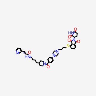 O=C(/C=C/c1cccnc1)NCCCCC1CCN(C(=O)c2ccc(N3CCN(CCCCSc4cccc5c4C(=O)N(C4CCC(=O)NC4=O)C5=O)CC3)cc2)CC1